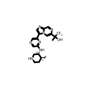 CC(O)(c1cn2c(-c3cncc(N[C@H]4CNCC[C@@H]4F)n3)cnc2cn1)C(F)(F)F